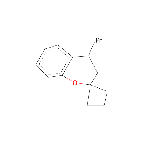 CC(C)C1CC2(CCC2)Oc2ccccc21